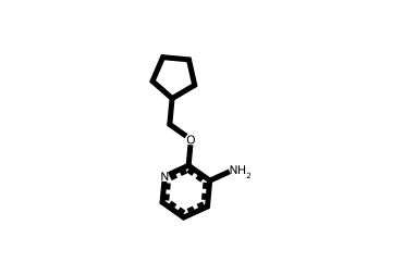 Nc1cccnc1OCC1CCCC1